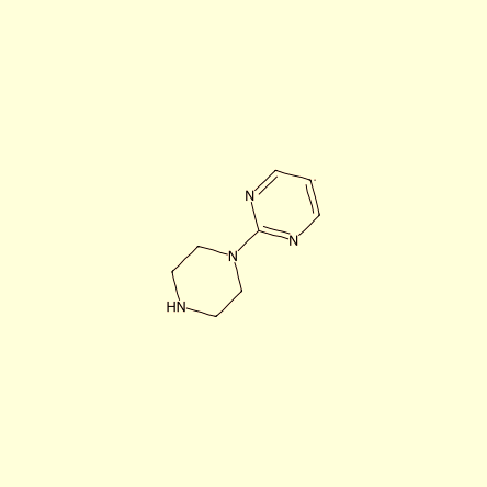 [c]1cnc(N2CCNCC2)nc1